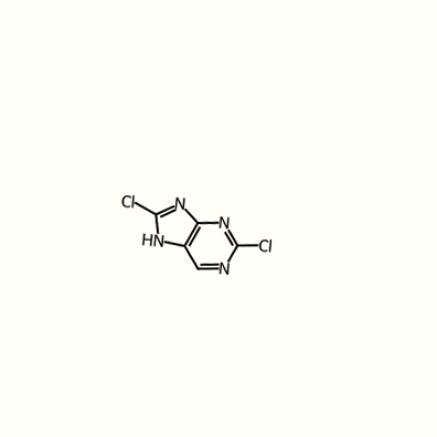 Clc1ncc2[nH]c(Cl)nc2n1